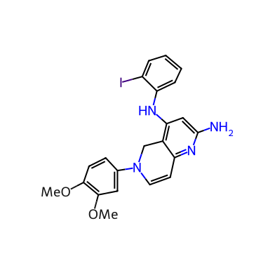 COc1ccc(N2C=Cc3nc(N)cc(Nc4ccccc4I)c3C2)cc1OC